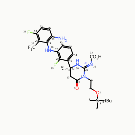 CC(C)(C)[Si](C)(C)OCCN1C(=O)C[C@@](C)(c2cccc(Nc3c(N)ccc(F)c3C(F)(F)F)c2F)N/C1=N\C(=O)O